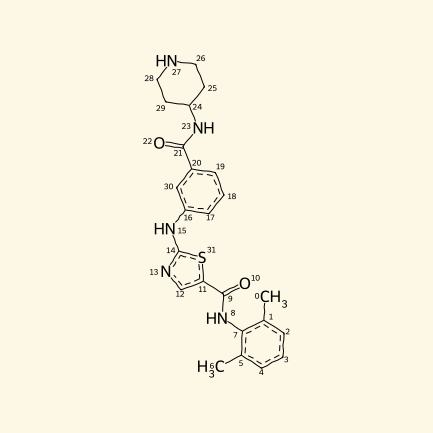 Cc1cccc(C)c1NC(=O)c1cnc(Nc2cccc(C(=O)NC3CCNCC3)c2)s1